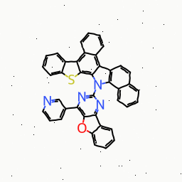 c1cncc(-c2nc(-n3c4c5ccccc5ccc4c4c5ccccc5c5c6ccccc6sc5c43)nc3c2oc2ccccc23)c1